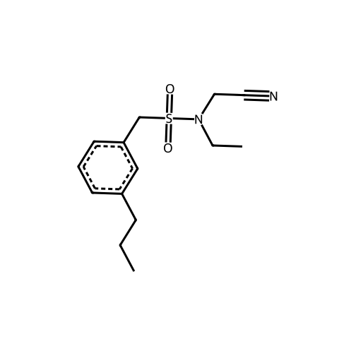 CCCc1cccc(CS(=O)(=O)N(CC)CC#N)c1